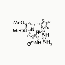 COc1ccnc(Cn2c3c([nH]c2=O)C(N)NC(n2cccn2)=N3)c1OC